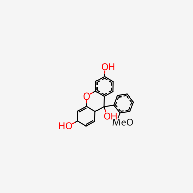 COc1ccccc1C1(O)c2ccc(O)cc2OC2=CC(O)C=CC21